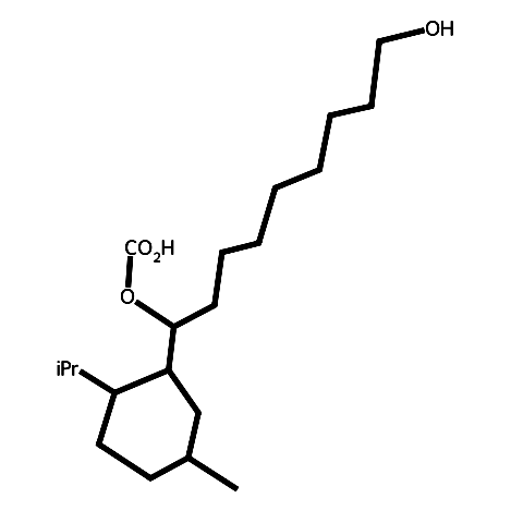 CC1CCC(C(C)C)C(C(CCCCCCCCO)OC(=O)O)C1